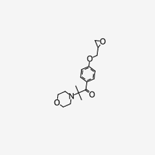 CC(C)(C(=O)c1ccc(OCC2CO2)cc1)N1CCOCC1